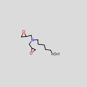 CCCCCCCCCCCCCN(CC1CO1)CC1CO1